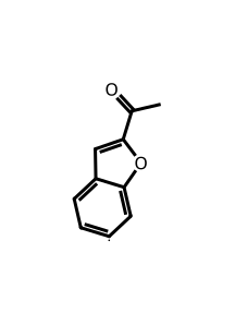 CC(=O)c1cc2cc[c]cc2o1